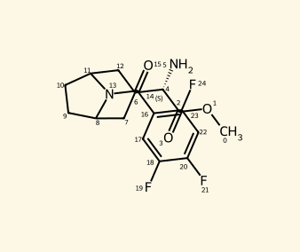 COC(=O)[C@@H](N)C1CC2CCC(C1)N2C(=O)c1cc(F)c(F)cc1F